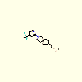 CC(F)(F)c1ccnc(N2CCC3(CCC(CC(=O)O)CC3)CC2)c1